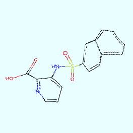 O=C(O)c1ncccc1NS(=O)(=O)c1ccc2ccccc2c1